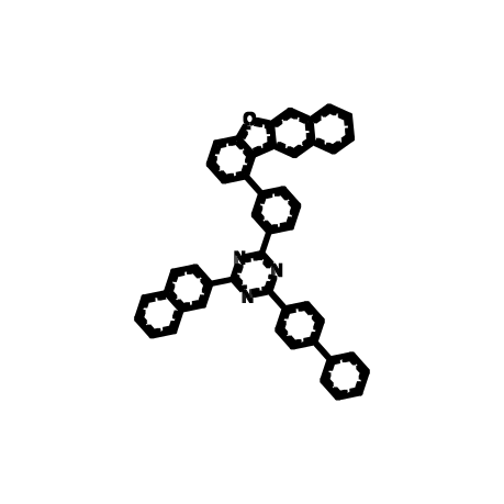 c1ccc(-c2ccc(-c3nc(-c4cccc(-c5cccc6oc7cc8ccccc8cc7c56)c4)nc(-c4ccc5ccccc5c4)n3)cc2)cc1